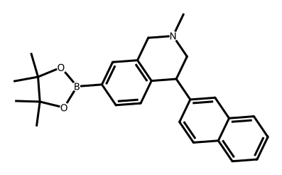 CN1Cc2cc(B3OC(C)(C)C(C)(C)O3)ccc2C(c2ccc3ccccc3c2)C1